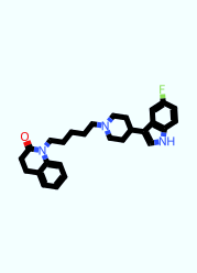 O=C1CCc2ccccc2N1CCCCCN1CCC(c2c[nH]c3ccc(F)cc23)CC1